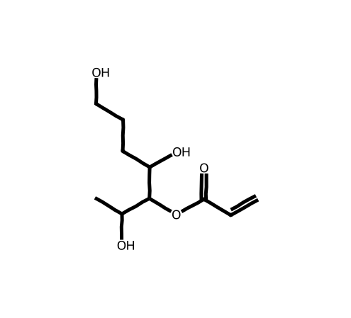 C=CC(=O)OC(C(C)O)C(O)CCCO